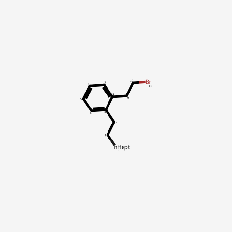 CCCCCCCCCc1ccccc1CCBr